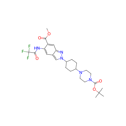 COC(=O)c1cc2nn(C3CCC(N4CCN(C(=O)OC(C)(C)C)CC4)CC3)cc2cc1NC(=O)C(F)(F)F